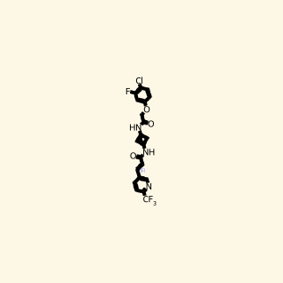 O=C(/C=C/c1ccc(C(F)(F)F)nc1)NC12CC(NC(=O)COc3ccc(Cl)c(F)c3)(C1)C2